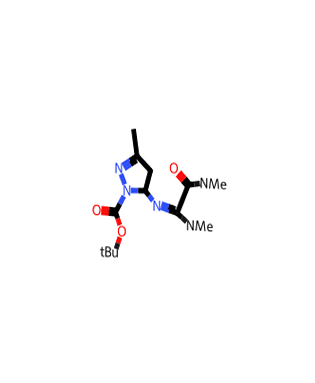 CNC(=O)C(=NC1CC(C)=NN1C(=O)OC(C)(C)C)NC